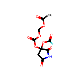 CC(C)(C)C(=O)OCOC(=O)OC1(OC(=O)F)CC(=O)NC1=O